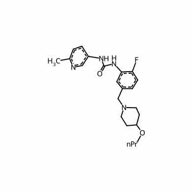 CCCOC1CCN(Cc2ccc(F)c(NC(=O)Nc3ccc(C)nc3)c2)CC1